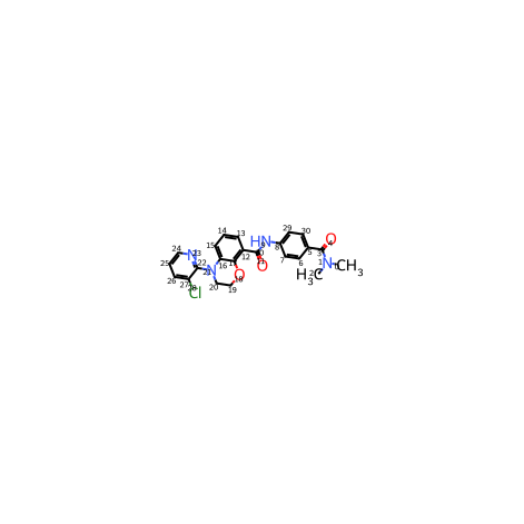 CN(C)C(=O)c1ccc(NC(=O)c2cccc3c2OCCN3c2ncccc2Cl)cc1